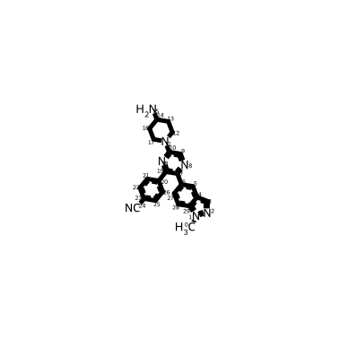 Cn1ncc2cc(-c3ncc(N4CCC(N)CC4)nc3-c3ccc(C#N)cc3)ccc21